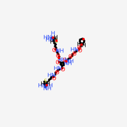 N=C1N[C@H]2[C@H](CS[C@H]2CCCCC(=O)NCCOCCNC(=O)c2cc(NC(=O)NCCOCCOCCNC(=O)OCC3[C@H]4CCC#CCC[C@@H]34)cc(C(=O)NCCOCCNC(=O)CCCC[C@@H]3SC[C@@H]4NC(=N)N[C@@H]43)c2)N1